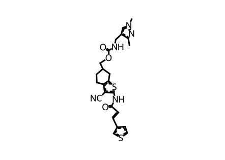 Cc1nn(C)cc1CNC(=O)OCC1CCc2c(sc(NC(=O)C=Cc3ccsc3)c2C#N)C1